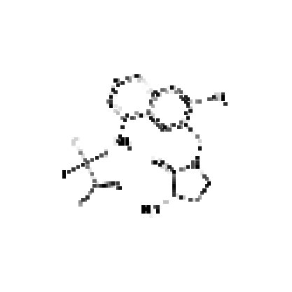 Nc1cc2ccnc(N)c2cc1CN1CC[C@H](N)C1=O.O=C(O)C(F)(F)F